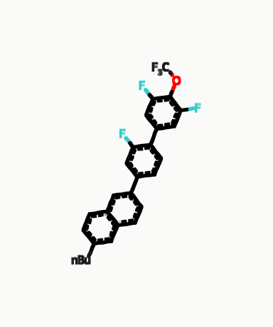 CCCCc1ccc2cc(-c3ccc(-c4cc(F)c(OC(F)(F)F)c(F)c4)c(F)c3)ccc2c1